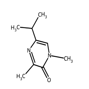 Cc1nc(C(C)C)cn(C)c1=O